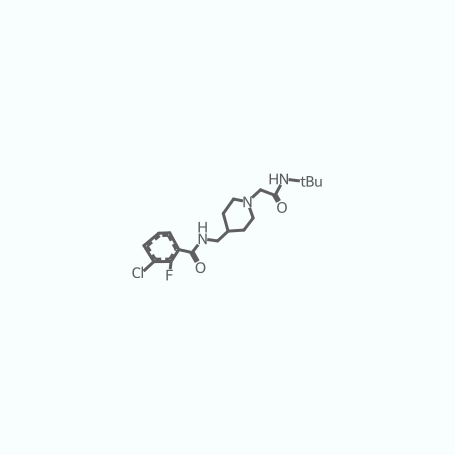 CC(C)(C)NC(=O)CN1CCC(CNC(=O)c2cccc(Cl)c2F)CC1